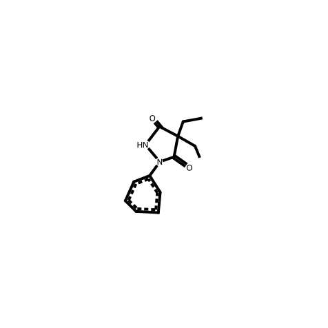 CCC1(CC)C(=O)NN(c2ccccc2)C1=O